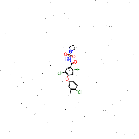 Cc1cc(Oc2cc(F)c(C(=O)NS(=O)(=O)N3CCC3)cc2Cl)ccc1Cl